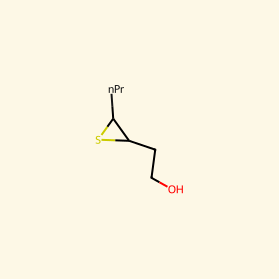 CCCC1SC1CCO